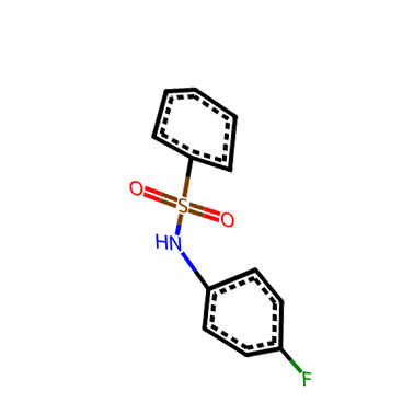 O=S(=O)(Nc1ccc(F)cc1)c1ccccc1